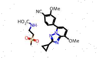 COc1cc(-c2ccc(OC)c3nc(C4CC4)nn23)ccc1C#N.CS(=O)(=O)CCNC(=O)O